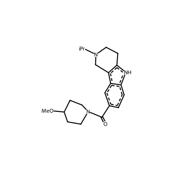 COC1CCN(C(=O)c2ccc3[nH]c4c(c3c2)CN(C(C)C)CC4)CC1